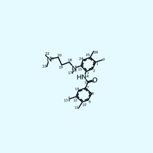 Cc1cc(NC(=O)c2ccc(C)c(I)c2)c(N(C)CCCN(C)C)cc1C